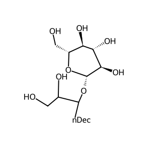 CCCCCCCCCCC(O[C@@H]1O[C@H](CO)[C@@H](O)[C@H](O)[C@H]1O)C(O)CO